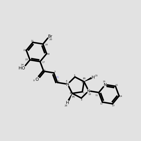 O=C(/C=C/N1C[C@H]2C[C@@H]1CN2c1ccccn1)c1cc(Br)ccc1O